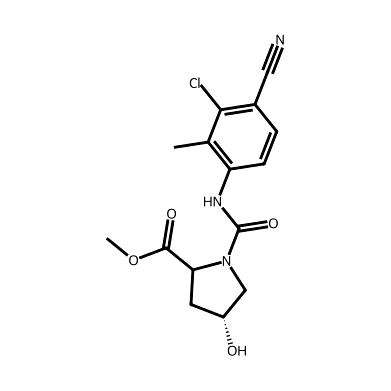 COC(=O)C1C[C@@H](O)CN1C(=O)Nc1ccc(C#N)c(Cl)c1C